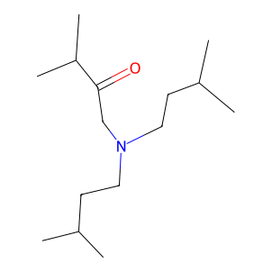 CC(C)CCN(CCC(C)C)CC(=O)C(C)C